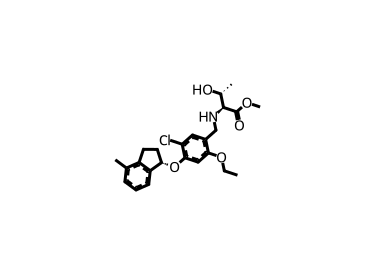 CCOc1cc(O[C@H]2CCc3c(C)cccc32)c(Cl)cc1CN[C@H](C(=O)OC)[C@@H](C)O